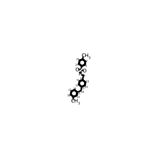 Cc1ccc(S(=O)(=O)/N=C/c2ccc(Cc3cccc(C)c3)cc2)cc1